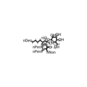 CCCCCCCCCCCCCC[C@@H](O)[C@H](O)[C@@](C)(NC(=O)C(CCCCCCCCC)N(CCCCC)CCCCC)O[C@@H]1OC(CO)[C@H](O)[C@H](O)[C@H]1O